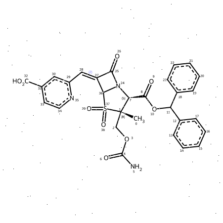 C[C@]1(COC(N)=O)[C@H](C(=O)OC(c2ccccc2)c2ccccc2)N2C(=O)/C(=C/c3cc(C(=O)O)ccn3)C2S1(=O)=O